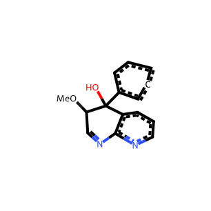 COC1C=Nc2ncccc2C1(O)c1ccccc1